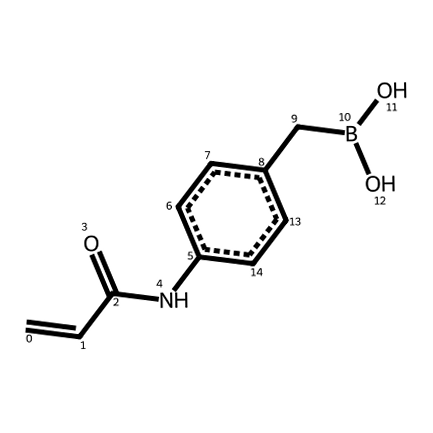 C=CC(=O)Nc1ccc(CB(O)O)cc1